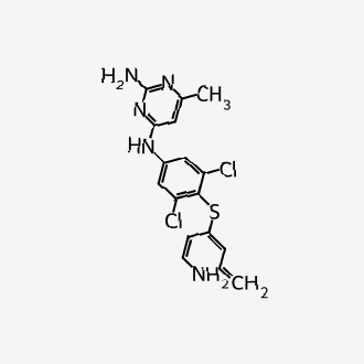 C=C/C=C(\C=C/N)Sc1c(Cl)cc(Nc2cc(C)nc(N)n2)cc1Cl